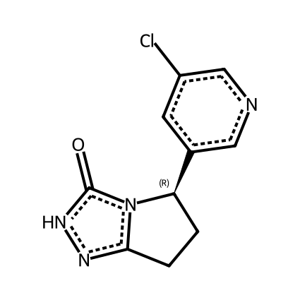 O=c1[nH]nc2n1[C@@H](c1cncc(Cl)c1)CC2